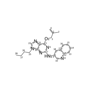 C=C(C)COc1nc(Nc2cnc3ccccc3c2)nc2c1ncn2CCCC